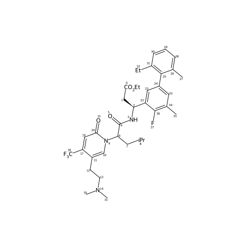 CCOC(=O)C[C@H](NC(=O)C(CC(C)C)n1cc(CCN(C)C)c(C(F)(F)F)cc1=O)c1cc(-c2c(C)cccc2CC)cc(C)c1F